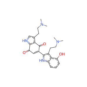 CN(C)CCc1c[nH]c2c1C(=O)C(c1[nH]c3cccc(O)c3c1CCN(C)C)=CC2=O